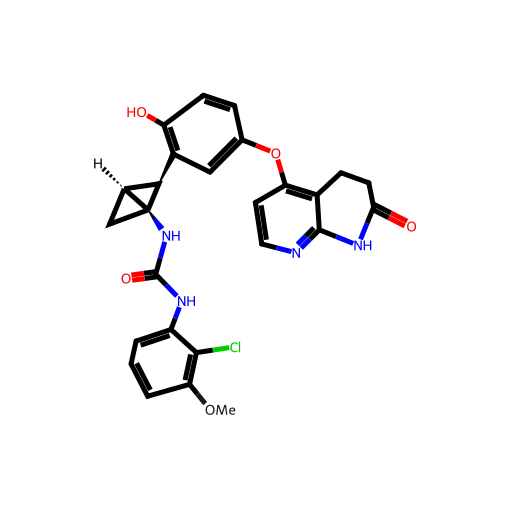 COc1cccc(NC(=O)N[C@@]23C[C@H]2[C@H]3c2cc(Oc3ccnc4c3CCC(=O)N4)ccc2O)c1Cl